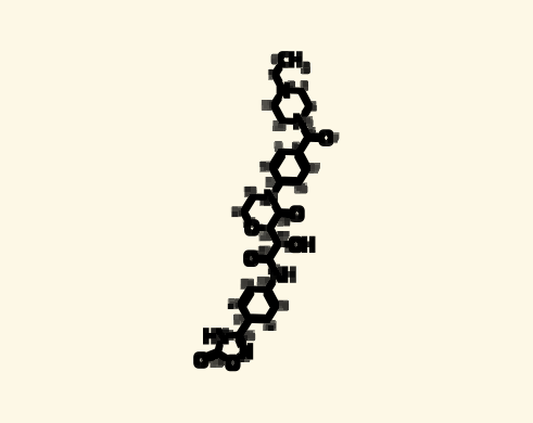 CCN1CCN(C(=O)c2ccc(N3CCO[C@H]([C@@H](O)C(=O)Nc4ccc(-c5noc(=O)[nH]5)cc4)C3=O)cc2)CC1